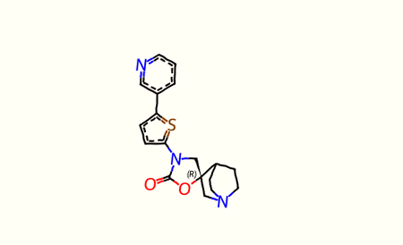 O=C1O[C@]2(CN3CCC2CC3)CN1c1ccc(-c2cccnc2)s1